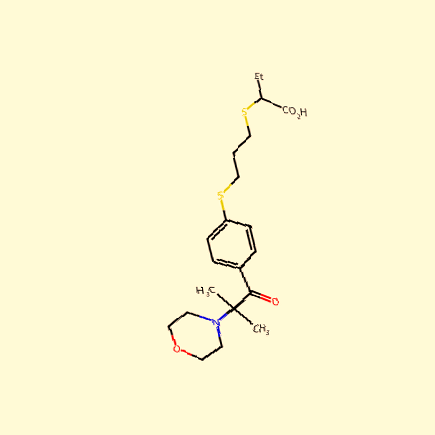 CCC(SCCCSc1ccc(C(=O)C(C)(C)N2CCOCC2)cc1)C(=O)O